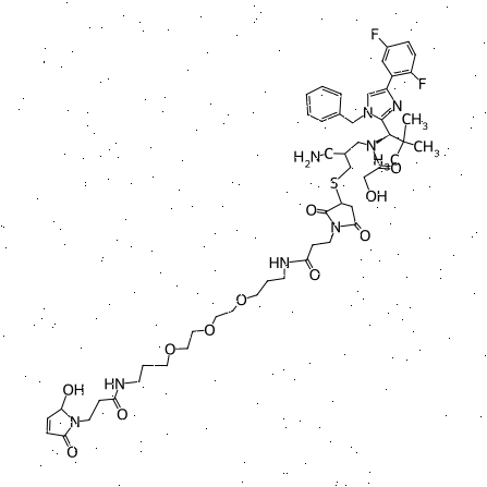 CC(C)(C)[C@H](c1nc(-c2cc(F)ccc2F)cn1Cc1ccccc1)N(CC(CN)CSC1CC(=O)N(CCC(=O)NCCCOCCOCCOCCCNC(=O)CCN2C(=O)C=CC2O)C1=O)C(=O)CO